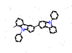 Cc1cccc2c3cc(-c4ccc5c(c4)c4ccccc4n5-c4ccccc4)ccc3n(-c3ccccc3)c12